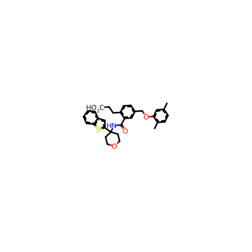 Cc1ccc(C)c(OCc2ccc(CCC(=O)O)c(C(=O)NC3(c4cc5ccccc5s4)CCOCC3)c2)c1